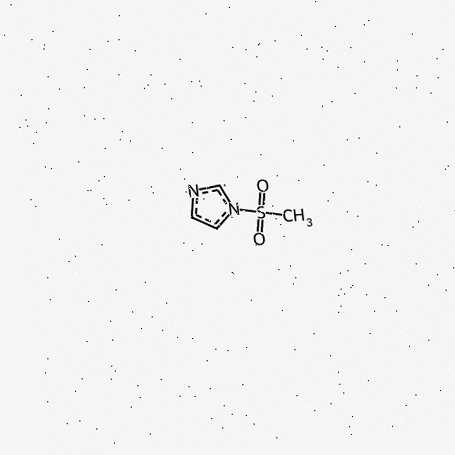 CS(=O)(=O)n1[c]ncc1